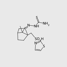 CC1(C)C2CCC1(CS(=O)(=O)O)C(=NNC(N)=S)C2.c1cscn1